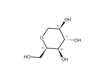 OC[C@H]1O[CH][C@@H](O)[C@H](O)[C@H]1O